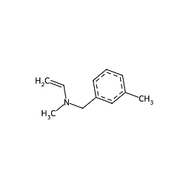 C=CN(C)Cc1cccc(C)c1